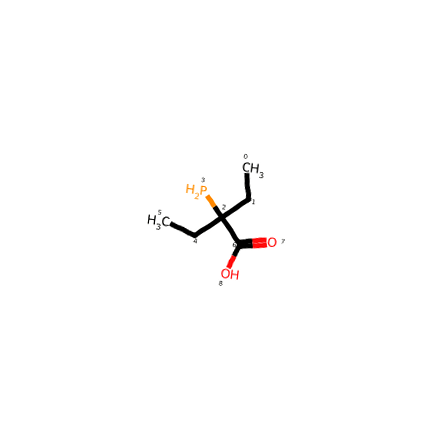 CCC(P)(CC)C(=O)O